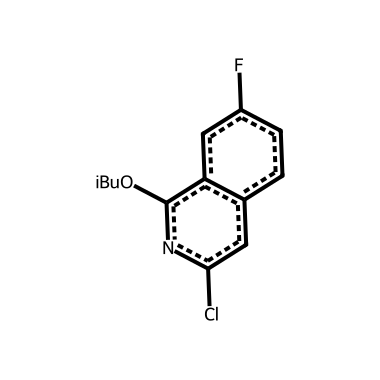 CC(C)COc1nc(Cl)cc2ccc(F)cc12